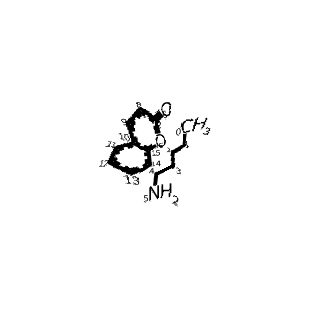 CCCCCN.O=c1ccc2ccccc2o1